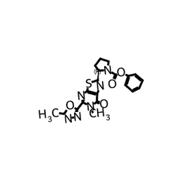 Cc1nnc(-c2nc3sc([C@H]4CCCN4C(=O)Oc4ccccc4)nc3c(=O)n2C)o1